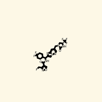 O=C(NC(c1cn2ncc(CN3C[C@@H](C(F)(F)F)NC3=O)cc2n1)C1CCC(F)(F)CC1)c1conc1CF